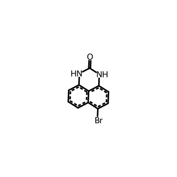 O=C1Nc2cccc3c(Br)ccc(c23)N1